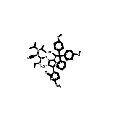 CCOP(O[C@H]1[C@@H](O)[C@H](n2ccc(N)nc2=O)O[C@@H]1C(O)C(c1ccccc1)(c1ccc(OC)cc1)c1ccc(OC)cc1)N(C#N)N(C(C)C)C(C)C